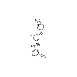 Cc1ccc(Oc2cc(I)cc(NC(=O)c3cccc(C)n3)c2)cn1